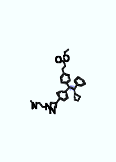 CCOC(=O)CCc1ccc(/C(=C(\c2ccccc2)C2CCC2)c2ccc(-c3cnn(CCN(C)C)c3)cc2)cc1